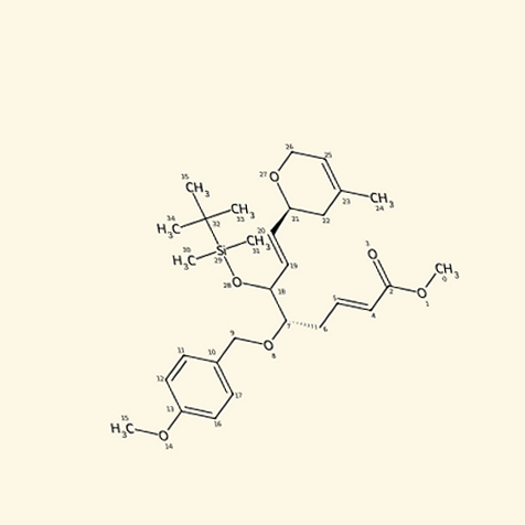 COC(=O)/C=C/C[C@H](OCc1ccc(OC)cc1)C(/C=C/[C@@H]1CC(C)=CCO1)O[Si](C)(C)C(C)(C)C